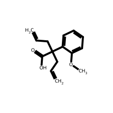 C=CCC(CC=C)(C(=O)O)c1ccccc1OC